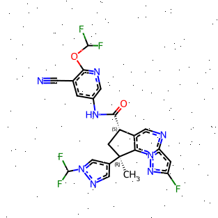 C[C@]1(c2cnn(C(F)F)c2)C[C@H](C(=O)Nc2cnc(OC(F)F)c(C#N)c2)c2cnc3cc(F)nn3c21